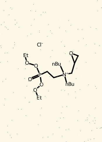 CCCC[N+](CCCC)(CCP(=O)(OOCC)OOCC)CC1CO1.[Cl-]